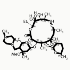 CC[C@H]1OC(=O)[C@H](C)[C@@H](O[C@H]2C[C@@](C)(OC)C(CN3CCN(C)CC3)[C@H](C)O2)[C@H](C)[C@@H](O[C@@H]2O[C@H](C)CC[C@H]2O)[C@](C)(O)C[C@@H](C)CN[C@H](C)[C@@H](O)[C@]1(C)O